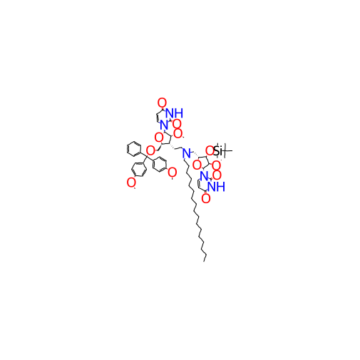 CCCCCCCCCCCCCCCCCN(CC[C@H]1[C@@H](OC)[C@H](n2ccc(=O)[nH]c2=O)O[C@@H]1COC(c1ccccc1)(c1ccc(OC)cc1)c1ccc(OC)cc1)C[C@H]1O[C@@H](n2ccc(=O)[nH]c2=O)[C@H](OC)[C@@H]1O[Si](C)(C)C(C)(C)C